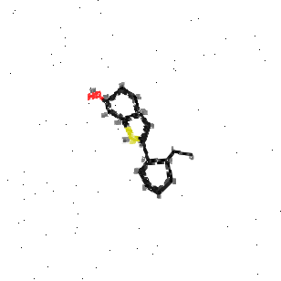 CCc1ccccc1-c1cc2ccc(O)cc2s1